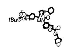 CC(C)(C)OC(=O)N[C@H](CF)C1CCC(C(=O)N2CC[C@@H](C3CCCCC3)[C@@H]2C(=O)Nc2ccc3oc(C(=O)OCC4CCOCC4)cc3c2)CC1